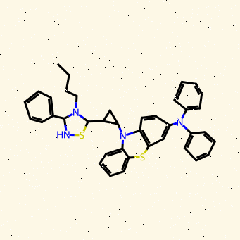 CCCCN1C(c2ccccc2)NSC1C1CC1N1c2ccccc2Sc2cc(N(c3ccccc3)c3ccccc3)ccc21